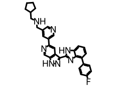 Fc1ccc(-c2cccc3[nH]c(-c4n[nH]c5cnc(-c6cncc(CNCC7CCCC7)c6)cc45)nc23)cc1